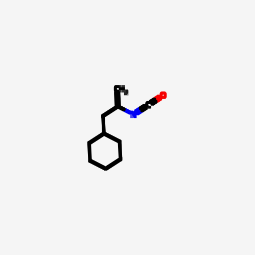 C=C(CC1CCCCC1)N=C=O